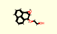 OCCOC1c2cccc3cccc(c23)C2OC12